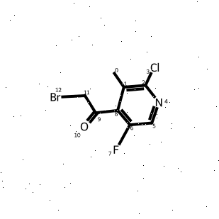 Cc1c(Cl)ncc(F)c1C(=O)CBr